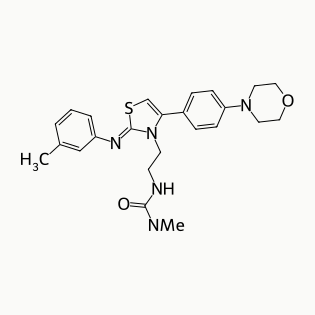 CNC(=O)NCCn1c(-c2ccc(N3CCOCC3)cc2)csc1=Nc1cccc(C)c1